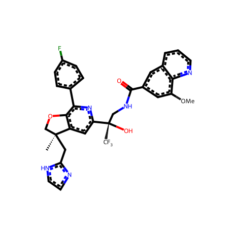 COc1cc(C(=O)NC[C@](O)(c2cc3c(c(-c4ccc(F)cc4)n2)OC[C@]3(C)Cc2ncc[nH]2)C(F)(F)F)cc2cccnc12